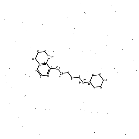 c1cc2c(c(SOCCCNC3CCCCC3)c1)OCCC2